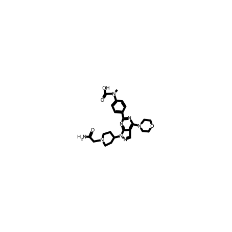 CN(C(=O)O)c1ccc(-c2nc(N3CCOCC3)c3cnn(C4CCN(CC(N)=O)CC4)c3n2)cc1